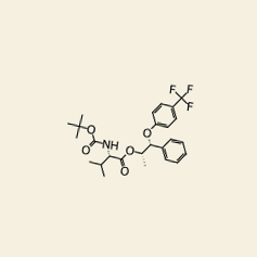 CC(C)[C@H](NC(=O)OC(C)(C)C)C(=O)O[C@@H](C)[C@H](Oc1ccc(C(F)(F)F)cc1)c1ccccc1